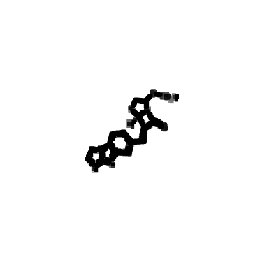 O=C(O)OC1=CS[C@@H]2/C(=C\c3ccc4c(c3)sc3nccn34)C(=O)N12